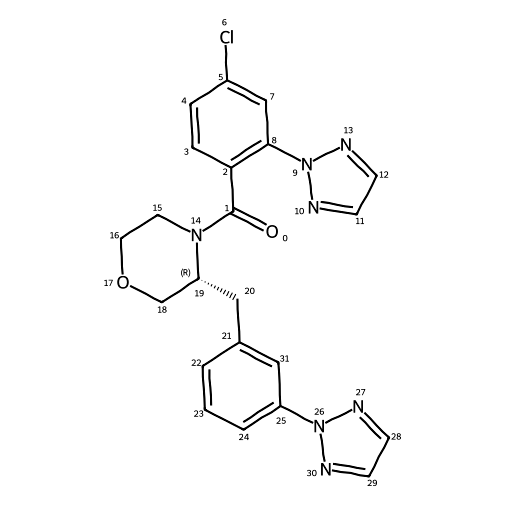 O=C(c1ccc(Cl)cc1-n1nccn1)N1CCOC[C@H]1Cc1cccc(-n2nccn2)c1